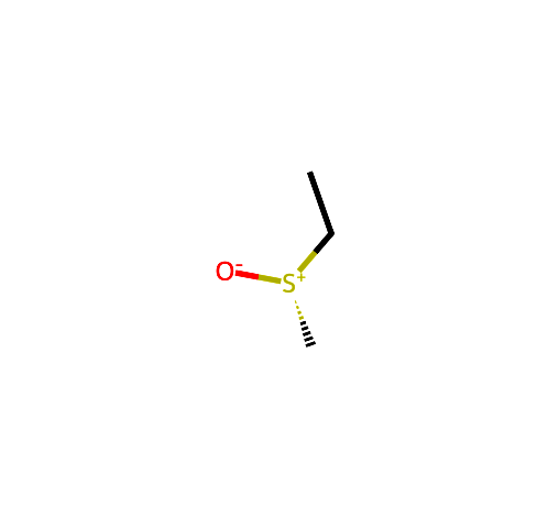 CC[S@+](C)[O-]